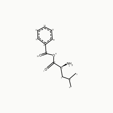 CC(C)C[C@H](N)C(=O)OC(=O)c1ccccc1